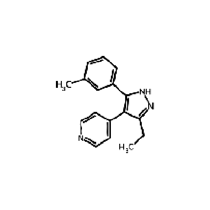 CCc1n[nH]c(-c2cccc(C)c2)c1-c1ccncc1